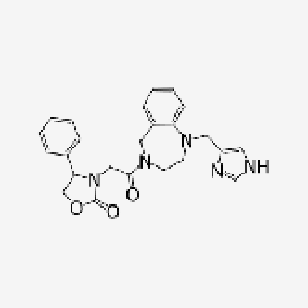 O=C(CN1C(=O)OCC1c1ccccc1)N1CCN(Cc2c[nH]cn2)c2ccccc2C1